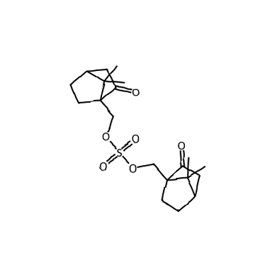 CC1(C)C2CCC1(COS(=O)(=O)OCC13CCC(CC1=O)C3(C)C)C(=O)C2